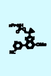 CCCNC(=O)OCC1(c2nc3c(OC)ccc(-c4cncc(C#N)c4)n3n2)CC1